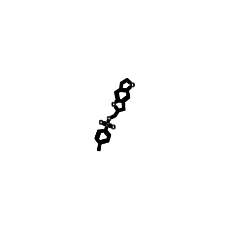 Cc1ccc(S(=O)(=O)OCC2Cc3cc4c(cc3O2)CCO4)cc1